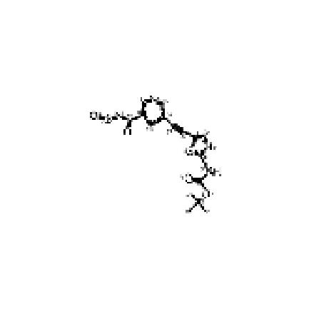 CC(C)(C)OC(=O)Nc1ncc(C#Cc2cncc(C(=O)N=S=O)c2)s1